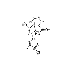 CC(=COCCC1(C(=O)O)CCCCC1C(=O)O)C(=O)O